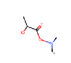 CCN(C)OC(=O)C(C)O